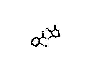 C=C1C=CC=C(OC(=O)c2ccccc2O)C1=O